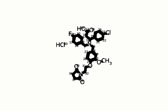 COc1cc(CN(Cc2ccc(F)cc2)C(CC(=O)O)c2ccc(Cl)cc2)ccc1OCCN1C(=O)CCC1=O.Cl